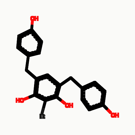 CCc1c(O)c(Cc2ccc(O)cc2)cc(Cc2ccc(O)cc2)c1O